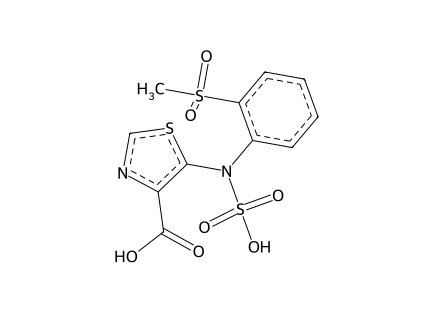 CS(=O)(=O)c1ccccc1N(c1scnc1C(=O)O)S(=O)(=O)O